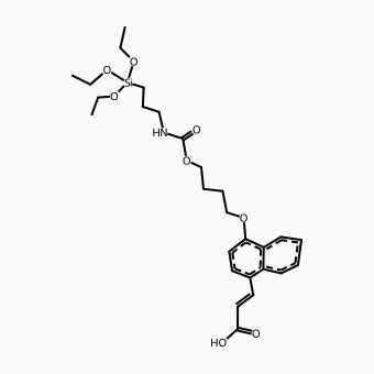 CCO[Si](CCCNC(=O)OCCCCOc1ccc(C=CC(=O)O)c2ccccc12)(OCC)OCC